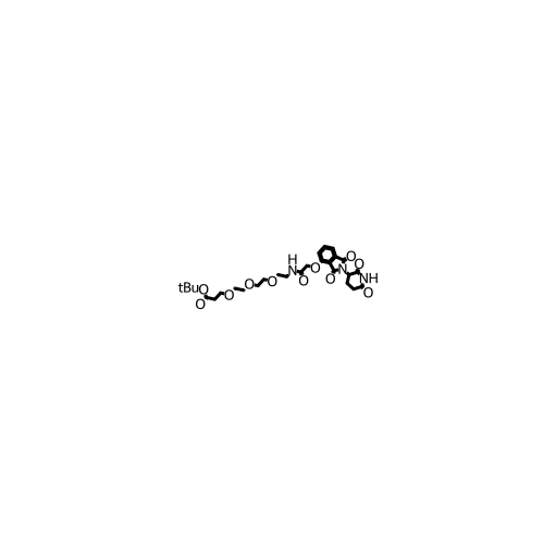 CC(C)(C)OC(=O)CCOCCOCCOCCNC(=O)COc1cccc2c1C(=O)N(C1CCC(=O)NC1=O)C2=O